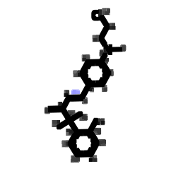 C=C(/C=C/c1ccc(N(C)CCCl)cc1)C(C)(C)c1ccccc1C